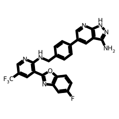 Nc1n[nH]c2ncc(-c3ccc(CNc4ncc(C(F)(F)F)cc4-c4nc5cc(F)ccc5o4)cc3)cc12